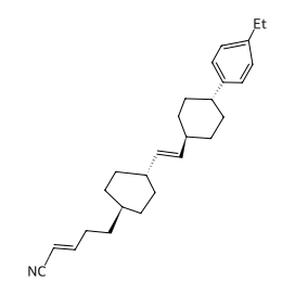 CCc1ccc([C@H]2CC[C@H](C=C[C@H]3CC[C@H](CCC=CC#N)CC3)CC2)cc1